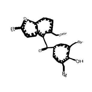 CCc1cc2c(C(=O)c3cc(Br)c(O)c(Br)c3)c(OC)ccc2o1